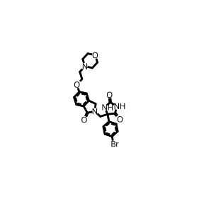 O=C1NC(=O)C(CN2Cc3cc(OCCN4CCOCC4)ccc3C2=O)(c2ccc(Br)cc2)N1